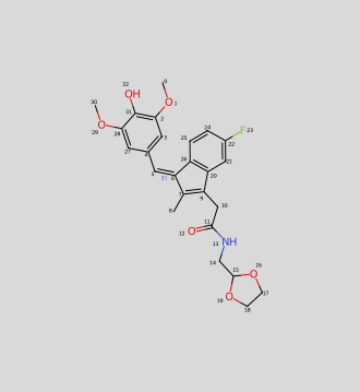 COc1cc(/C=C2/C(C)=C(CC(=O)NCC3OCCO3)c3cc(F)ccc32)cc(OC)c1O